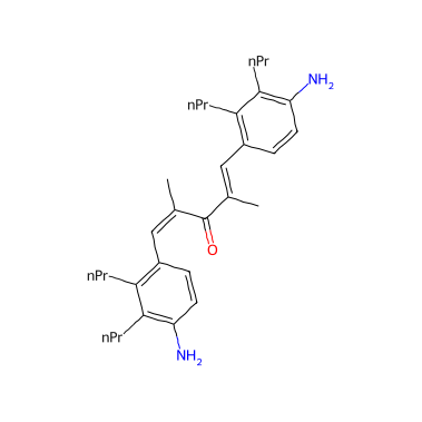 CCCc1c(N)ccc(C=C(C)C(=O)C(C)=Cc2ccc(N)c(CCC)c2CCC)c1CCC